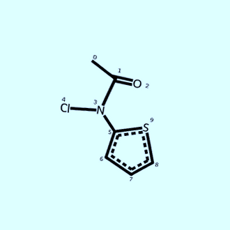 CC(=O)N(Cl)c1cccs1